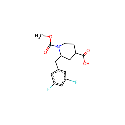 COC(=O)N1CCC(C(=O)O)CC1Cc1cc(F)cc(F)c1